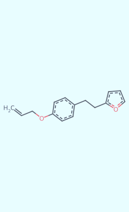 C=CCOc1ccc(CCc2ccco2)cc1